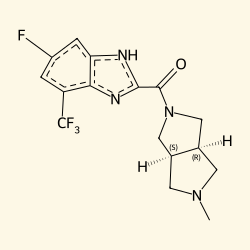 CN1C[C@@H]2CN(C(=O)c3nc4c(C(F)(F)F)cc(F)cc4[nH]3)C[C@@H]2C1